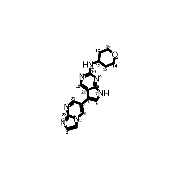 c1cn2cc(-c3c[nH]c4nc(NC5CCOCC5)ncc34)cnc2n1